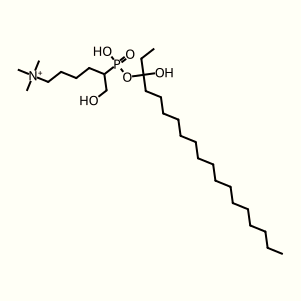 CCCCCCCCCCCCCCCCC(O)(CC)OP(=O)(O)C(CO)CCCC[N+](C)(C)C